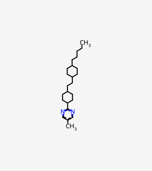 CCCCCC1CCC(CCC2CCC(c3ncc(C)cn3)CC2)CC1